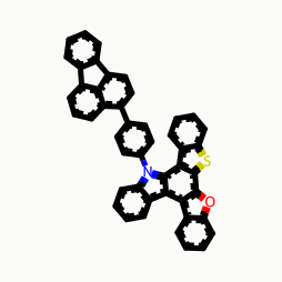 c1ccc2c(c1)-c1cccc3c(-c4ccc(-n5c6ccccc6c6c7c8ccccc8oc7c7sc8ccccc8c7c65)cc4)ccc-2c13